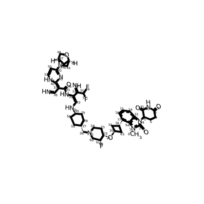 Cn1c(=O)n(C2CCC(=O)NC2=O)c2cccc([C@H]3C[C@H](O[C@H]4CCN(C[C@H]5CC[C@H](N/C=C(\NC(=O)/C(C=N)=C6\N=C(N7C[C@H]8C[C@@H]7CO8)C=CN6)C(=N)C(F)F)CC5)C[C@H]4F)C3)c21